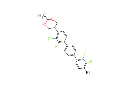 CCc1ccc(-c2ccc(-c3ccc(C4COC(C)OC4)c(F)c3F)cc2)c(F)c1F